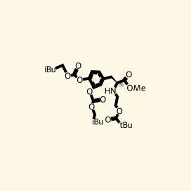 CCC(C)COC(=O)Oc1ccc(C[C@H](NCCOC(=O)C(C)(C)C)C(=O)OC)cc1OC(=O)OCC(C)CC